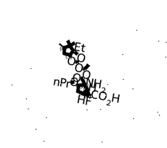 CCCO[C@@H]1C[C@@H]2[C@H]([C@]1(N)C(=O)OC(C)OC(=O)O[C@H]1C[C@@H](C)C(C)(C)C1(C)CC)[C@@]2(F)C(=O)O